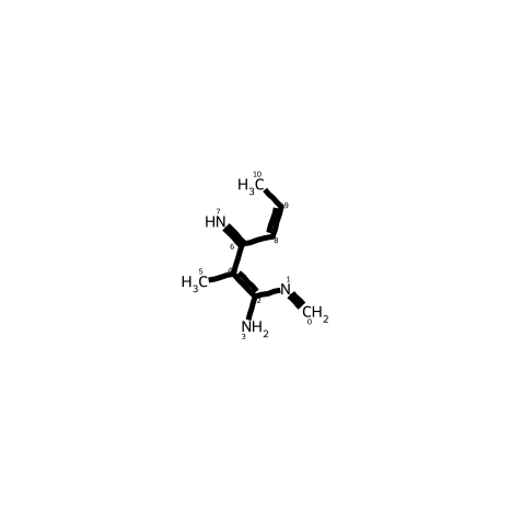 C=N/C(N)=C(/C)C(=N)/C=C\C